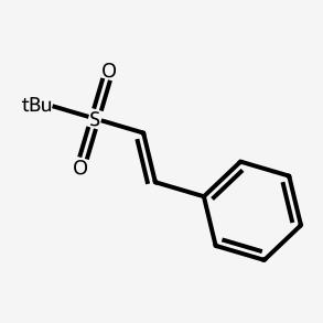 CC(C)(C)S(=O)(=O)C=Cc1ccccc1